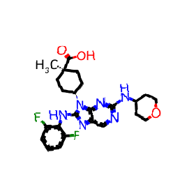 C[C@]1(C(=O)O)CC[C@H](n2c(Nc3c(F)cccc3F)nc3cnc(NC4CCOCC4)nc32)CC1